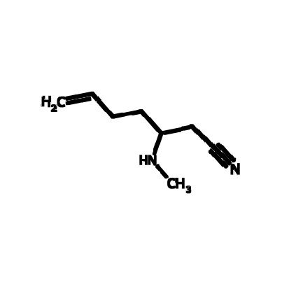 C=CCCC(CC#N)NC